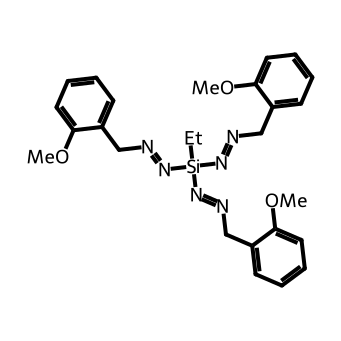 CC[Si](N=NCc1ccccc1OC)(N=NCc1ccccc1OC)N=NCc1ccccc1OC